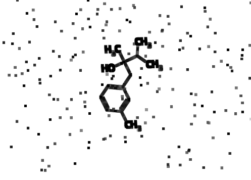 Cc1cccc(CC(C)(O)C(C)C)c1